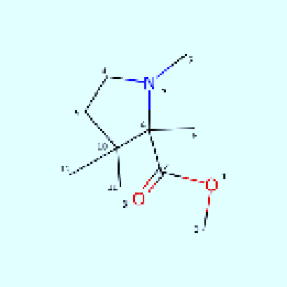 COC(=O)C1(C)N(C)CCC1(C)C